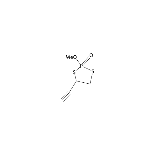 C#CC1CSP(=O)(OC)S1